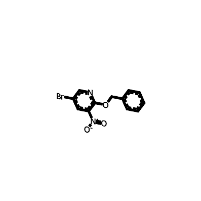 O=[N+]([O-])c1cc(Br)cnc1OCc1ccccc1